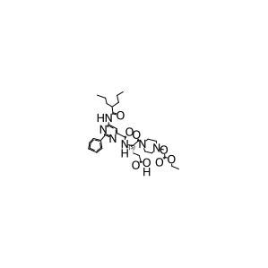 CCCC(CCC)C(=O)Nc1cc(C(=O)N[C@@H](CCC(=O)O)C(=O)N2CCN(OC(=O)OCC)CC2)nc(-c2ccccc2)n1